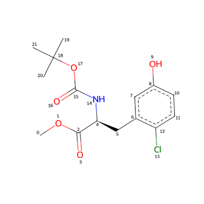 COC(=O)[C@H](Cc1cc(O)ccc1Cl)NC(=O)OC(C)(C)C